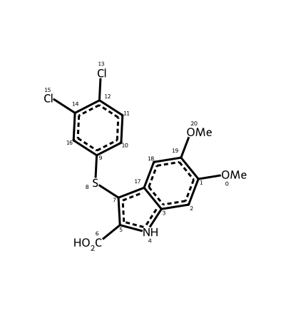 COc1cc2[nH]c(C(=O)O)c(Sc3ccc(Cl)c(Cl)c3)c2cc1OC